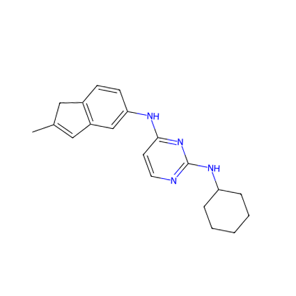 CC1=Cc2cc(Nc3ccnc(NC4CCCCC4)n3)ccc2C1